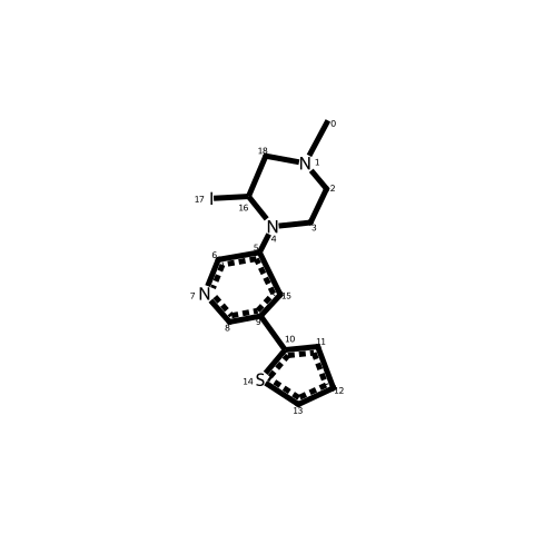 CN1CCN(c2cncc(-c3cccs3)c2)C(I)C1